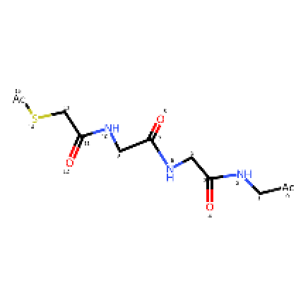 CC(=O)CNC(=O)CNC(=O)CNC(=O)CSC(C)=O